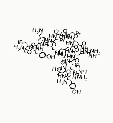 CC(C)C[C@H](NC(=O)[C@H](Cc1ccc(O)cc1)NC(=O)[C@H](CCCCN)NC(=O)[C@H](CCCCN)NC(=O)[C@@H](NC(=O)C(C)(C)NC(=O)[C@H](CC(C)C)NC(=O)[C@H](CCC(N)=O)NC(=O)[C@H](CCCCN)NC(=O)[C@H](CCCNC(=N)N)NC(=O)[C@H](CC(C)C)NC(=O)[C@H](CCCNC(=N)N)NC(=O)[C@@H](NC(=O)[C@@H](N)Cc1ccc(O)cc1)[C@@H](C)O)C(C)C)C(N)=O